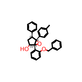 Cc1ccc([C@@]23O[C@]2(c2ccccc2OCc2ccccc2)[C@@H](O)C[C@H]3c2ccccc2)cc1